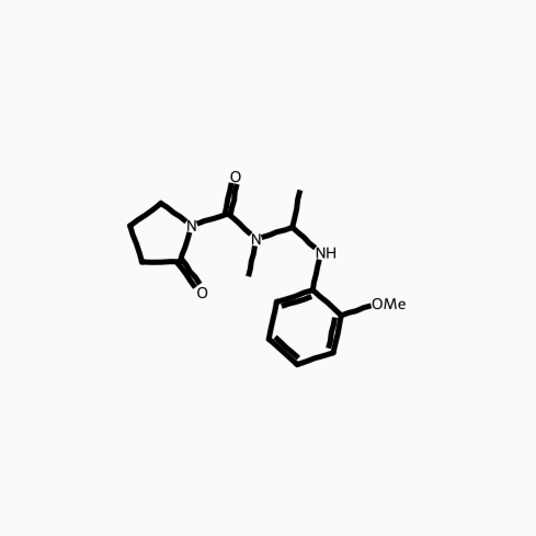 COc1ccccc1NC(C)N(C)C(=O)N1CCCC1=O